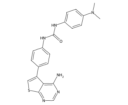 CN(C)c1ccc(NC(=O)Nc2ccc(-c3csc4ncnc(N)c34)cc2)cc1